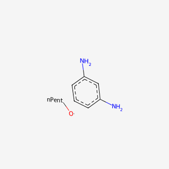 CCCCC[O].Nc1cccc(N)c1